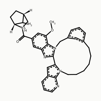 COc1cc(C(=O)N2C[C@H]3CC[C@@H]2[C@@H]3N)cc2nc3n(c12)Cc1cccc(c1)CCCCCCn1c-3cc2cccnc21